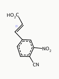 N#Cc1ccc(/C=C/C(=O)O)cc1[N+](=O)[O-]